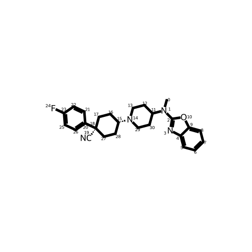 CN(c1nc2ccccc2o1)C1CCN([C@H]2CC[C@](C#N)(c3ccc(F)cc3)CC2)CC1